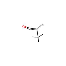 CC(C)C(=C=O)C(C)(C)C